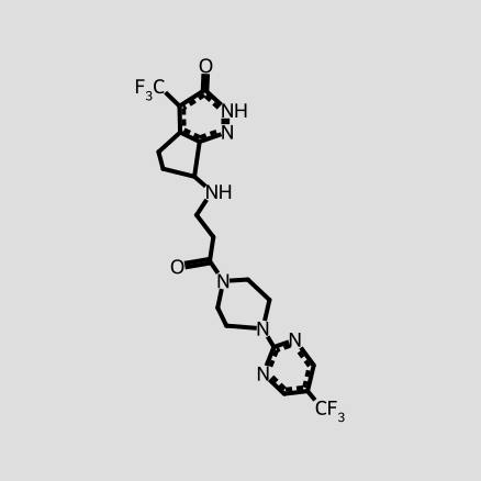 O=C(CCNC1CCc2c1n[nH]c(=O)c2C(F)(F)F)N1CCN(c2ncc(C(F)(F)F)cn2)CC1